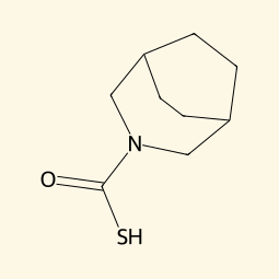 O=C(S)N1CC2CCC(CC2)C1